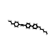 CCCCCCc1ccc(-c2ccc(C#CC3CCC(CCC)CC3)cc2)cc1